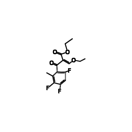 CCOC=C(C(=O)OCC)C(=O)c1c(F)cc(F)c(F)c1C